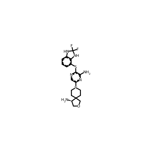 Nc1nc(N2CCC3(CC2)COC[C@H]3N)cnc1Sc1cccc2c1NC(F)(F)N2